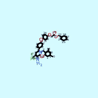 Cc1ccc(Cn2c(-c3ccc(Oc4ccc(OCC(=O)OCc5ccccc5)cc4)cc3)cc(C(F)(F)F)c(N)c2=O)c(C)c1